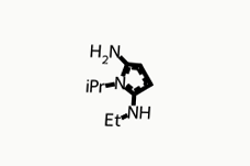 CCNc1ccc(N)n1C(C)C